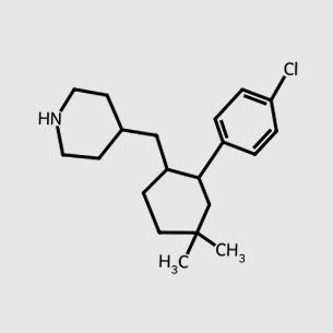 CC1(C)CCC(CC2CCNCC2)C(c2ccc(Cl)cc2)C1